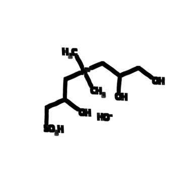 C[N+](C)(CC(O)CO)CC(O)CS(=O)(=O)O.[OH-]